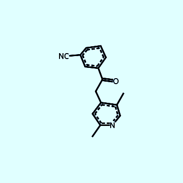 Cc1cc(CC(=O)c2cccc(C#N)c2)c(C)cn1